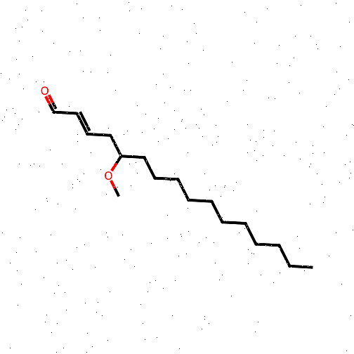 CCCCCCCCCCCC(C/C=C/C=O)OC